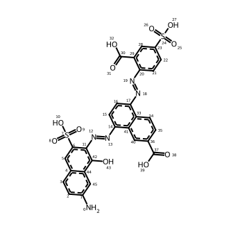 Nc1ccc2cc(S(=O)(=O)O)c(N=Nc3ccc(N=Nc4ccc(S(=O)(=O)O)cc4C(=O)O)c4ccc(C(=O)O)cc34)c(O)c2c1